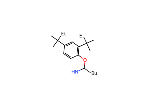 CCC(C)C([NH])Oc1ccc(C(C)(C)CC)cc1C(C)(C)CC